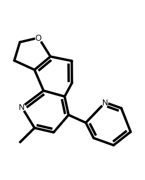 Cc1cc(-c2ccccn2)c2ccc3c(c2n1)CCO3